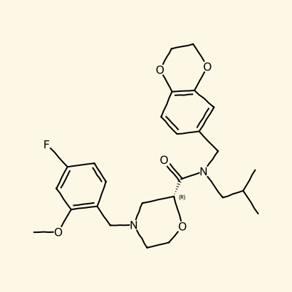 COc1cc(F)ccc1CN1CCO[C@@H](C(=O)N(Cc2ccc3c(c2)OCCO3)CC(C)C)C1